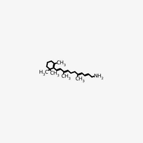 CC1=C(/C=C/C(C)=C/CC/C(C)=C/C=C/CN)C(C)(C)CCC1